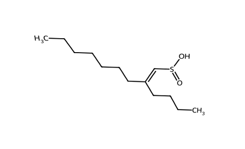 CCCCCCCC(=CS(=O)O)CCCC